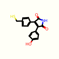 O=C1NC(=O)C(c2ccc(CS)cc2)=C1c1ccc(O)cc1